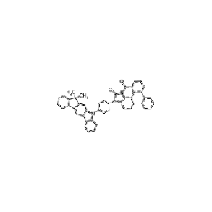 CC1(C)c2ccccc2-c2cc3c4ccccc4n(-c4ccc(-n5c(=O)n6c(=O)c7cccc(-c8ccccc8)c7c7cccc5c76)cc4)c3cc21